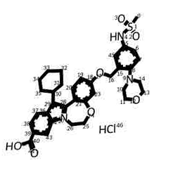 CS(=O)(=O)Nc1ccc(N2CCOCC2)c(COc2ccc3c(c2)OCCn2c-3c(C3CCCCC3)c3ccc(C(=O)O)cc32)c1.Cl